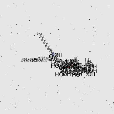 CCCCCCCCCCCCC/C=C/[C@@H](O)[C@H](CO[C@@H]1OC(CO)[C@@H](O[C@@H]2OC(CO)[C@H](O)[C@H](O[C@@H]3OC(CO)[C@@H](O[C@@H]4OC(CO)[C@H](O)[C@H](O[C@H]5OC(CO)[C@H](O)[C@H](O)C5NC(C)=O)C4O[C@H]4OC(C)[C@@H](O)C(O)[C@@H]4O)[C@H](O)C3NC(C)=O)C2O)[C@H](O)C1O)NC(=O)CCCCCCCCCCCCCCC